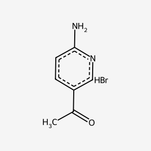 Br.CC(=O)c1ccc(N)nc1